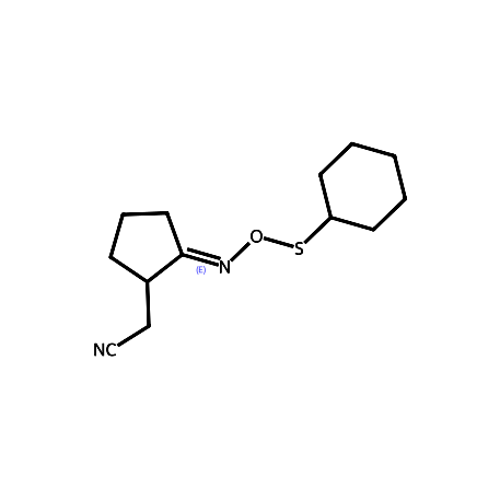 N#CCC1CCC/C1=N\OSC1CCCCC1